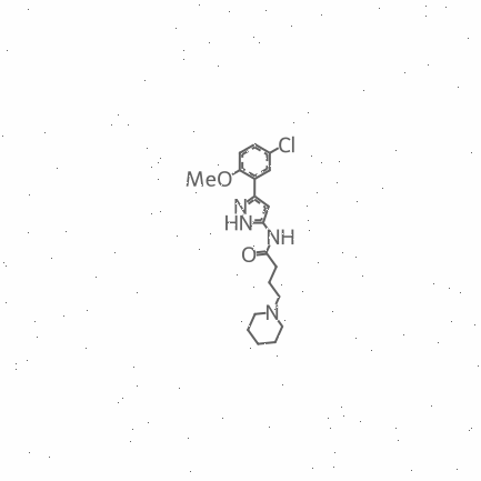 COc1ccc(Cl)cc1-c1cc(NC(=O)CCCN2CCCCC2)[nH]n1